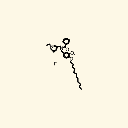 CCCCCCCCCCCCOc1ccc(CN(Cc2ccc[n+](CC)c2)C(=O)c2ccccc2)cc1OC.[I-]